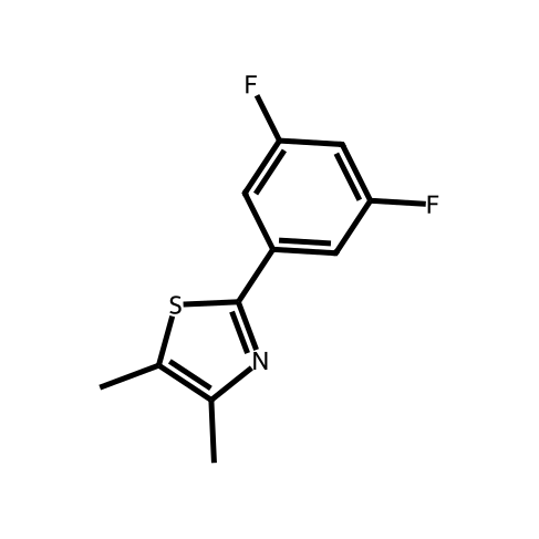 Cc1nc(-c2cc(F)cc(F)c2)sc1C